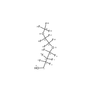 OCC(F)(F)C(F)(F)C(F)(F)OC(F)(F)C(F)(F)OC(F)(F)F